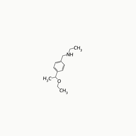 CCNCc1ccc(C(C)OCC)cc1